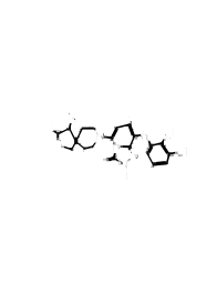 Cc1cc(N2CCC3(CC2)COC(C)C3N)n2c(=O)[nH]nc2c1Sc1cccc(Cl)c1Cl